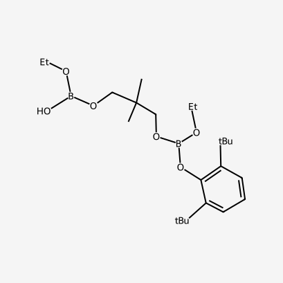 CCOB(O)OCC(C)(C)COB(OCC)Oc1c(C(C)(C)C)cccc1C(C)(C)C